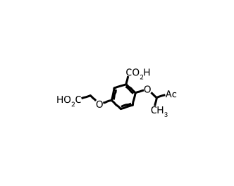 CC(=O)C(C)Oc1ccc(OCC(=O)O)cc1C(=O)O